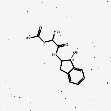 CC(C)C(=O)NC(C(=O)NC1Cc2ccccc2[C@H]1O)C(C)(C)C